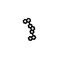 C1=CC2=C(CC1)CCC=C2c1ccc2c(ccc3cc(-c4cccc5ccccc45)ccc32)c1